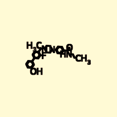 CCCNC(=O)c1ccc(N2CCN(C(C)c3ccc(-c4cccc(O)c4)cc3F)CC2)cc1